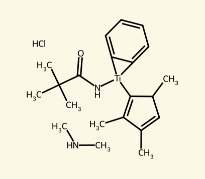 CC1=CC(C)[C]([Ti]2([NH]C(=O)C(C)(C)C)[c]3cccc[c]32)=C1C.CNC.Cl